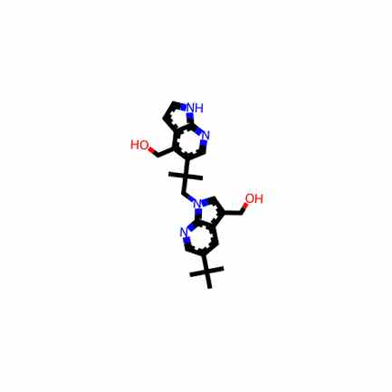 CC(C)(C)c1cnc2c(c1)c(CO)cn2CC(C)(C)c1cnc2[nH]ccc2c1CO